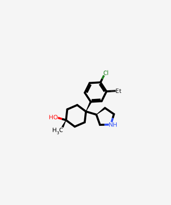 CCc1cc([C@]2([C@H]3CCNC3)CC[C@@](C)(O)CC2)ccc1Cl